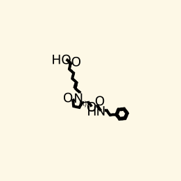 O=C(O)CCCC=CCN1C(=O)CC[C@@H]1COC(=O)NCCc1ccccc1